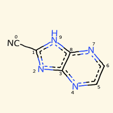 N#Cc1nc2nccnc2[nH]1